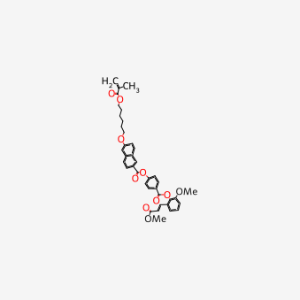 C=C(C)C(=O)OCCCCCCOc1ccc2cc(C(=O)Oc3ccc(C(=O)Oc4c(C=CC(=O)OC)cccc4OC)cc3)ccc2c1